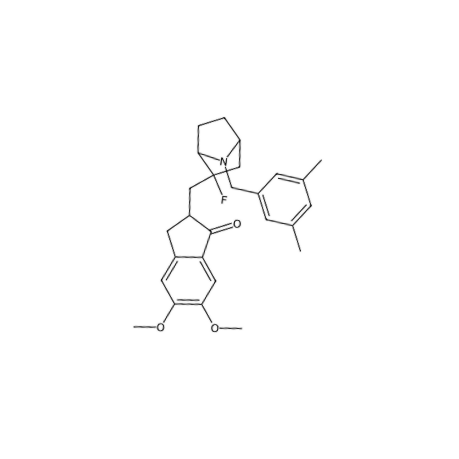 COc1cc2c(cc1OC)C(=O)C(CC1(F)CC3CCC1N3Cc1cc(C)cc(C)c1)C2